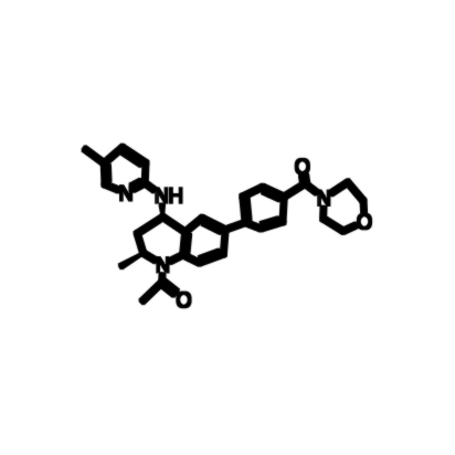 CC(=O)N1c2ccc(-c3ccc(C(=O)N4CCOCC4)cc3)cc2[C@H](Nc2ccc(C)cn2)C[C@@H]1C